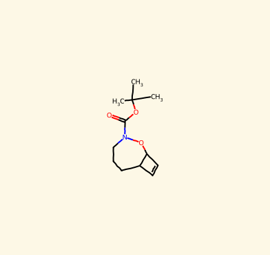 CC(C)(C)OC(=O)N1CCCC2C=CC2O1